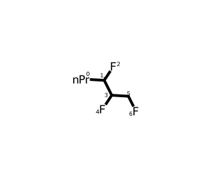 CCC[C](F)C(F)CF